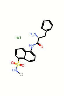 CCNS(=O)(=O)c1cccc2c(NC(=O)[C@@H](N)Cc3ccccc3)cccc12.Cl